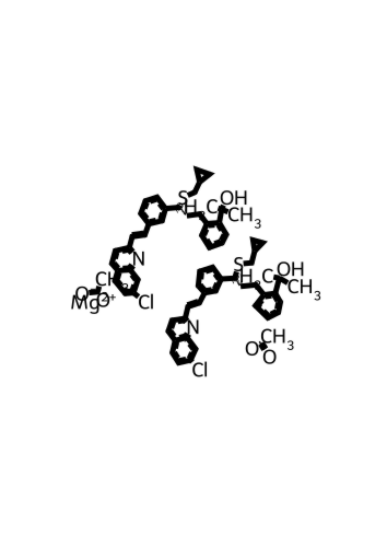 CC(=O)[O-].CC(=O)[O-].CC(C)(O)c1ccccc1CC[C@@H](SCC1CC1)c1cccc(C=Cc2ccc3ccc(Cl)cc3n2)c1.CC(C)(O)c1ccccc1CC[C@@H](SCC1CC1)c1cccc(C=Cc2ccc3ccc(Cl)cc3n2)c1.[Mg+2]